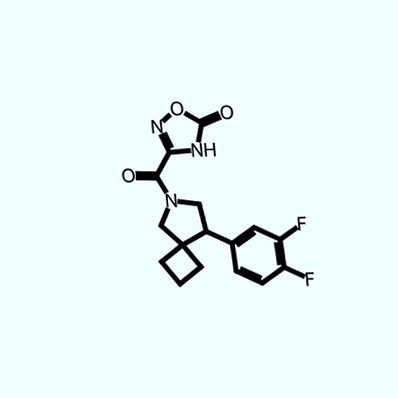 O=C(c1noc(=O)[nH]1)N1CC(c2ccc(F)c(F)c2)C2(CCC2)C1